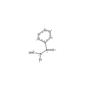 CCN(C=O)C(=O)c1ccccc1